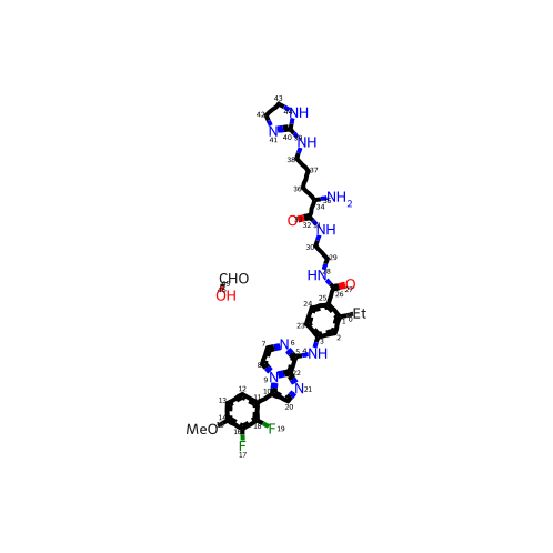 CCc1cc(Nc2nccn3c(-c4ccc(OC)c(F)c4F)cnc23)ccc1C(=O)NCCNC(=O)C(N)CCCNC1=NCCN1.O=CO